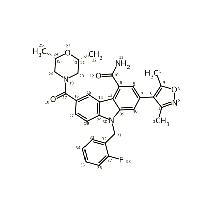 Cc1noc(C)c1-c1cc(C(N)=O)c2c3cc(C(=O)N4C[C@@H](C)O[C@@H](C)C4)ccc3n(Cc3ccccc3F)c2c1